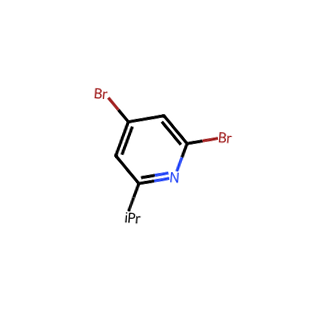 CC(C)c1cc(Br)cc(Br)n1